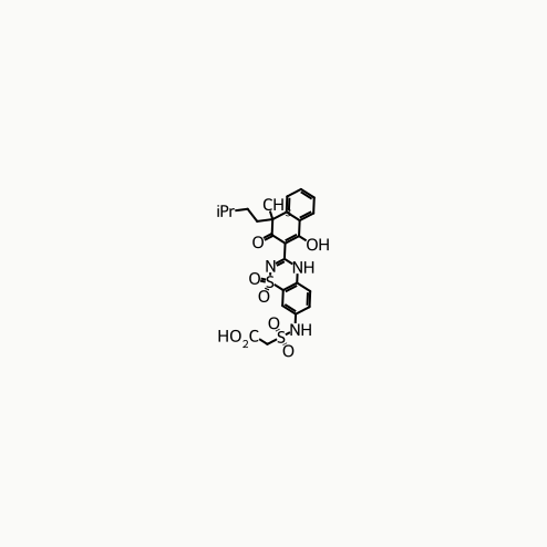 CC(C)CCC1(C)C(=O)C(C2=NS(=O)(=O)c3cc(NS(=O)(=O)CC(=O)O)ccc3N2)=C(O)c2ccccc21